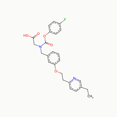 CCc1ccc(CCOc2cccc(CN(CC(=O)O)C(=O)Oc3ccc(F)cc3)c2)nc1